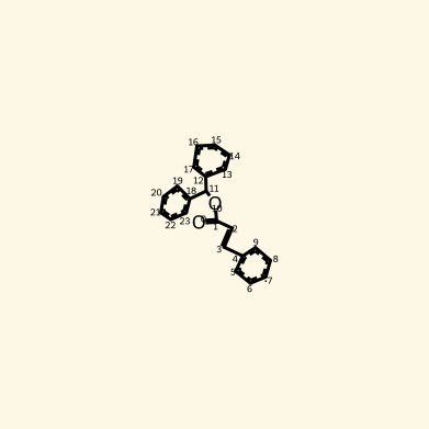 O=C(C=Cc1cc[c]cc1)OC(c1ccccc1)c1ccccc1